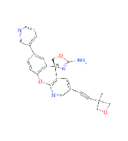 CC1(C#Cc2cnc3c(c2)[C@]2(COC(N)=N2)c2cc(-c4cccnc4)ccc2O3)COC1